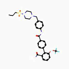 CCCS(=O)(=O)N1CCN(Cc2ccc(NC(=O)c3ccc(-c4c(C(N)=O)[c]ccc4OC(F)(F)F)cc3)cc2)CC1